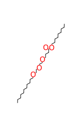 CCCCCCCCCCCOCCOCCOCCCC(=O)OCCCCCCCCC